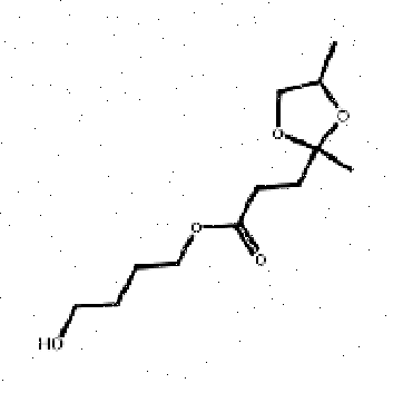 CC1COC(C)(CCC(=O)OCCCCO)O1